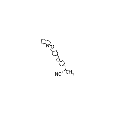 CC(CCC#N)Cc1ccc(OCc2ccc(COc3ccc4ccccc4n3)cc2)cc1